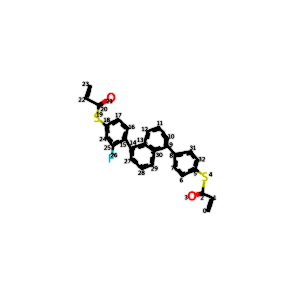 C=CC(=O)Sc1ccc(-c2cccc3c(-c4ccc(SC(=O)C=C)cc4F)cccc23)cc1